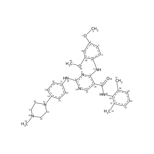 COc1ccc(Nc2nc(Nc3ccc(N4CCN(C)CC4)cc3)ncc2C(=O)Nc2c(C)cccc2C)c(OC)c1